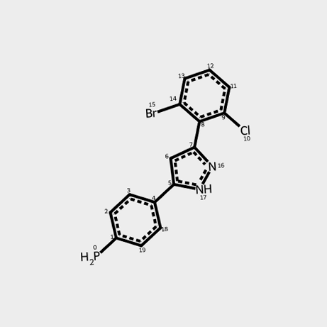 Pc1ccc(-c2cc(-c3c(Cl)cccc3Br)n[nH]2)cc1